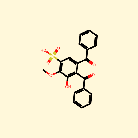 COc1c(S(=O)(=O)O)cc(C(=O)c2ccccc2)c(C(=O)c2ccccc2)c1O